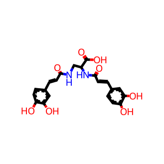 O=C(C=Cc1ccc(O)c(O)c1)NCC(NC(=O)C=Cc1ccc(O)c(O)c1)C(=O)O